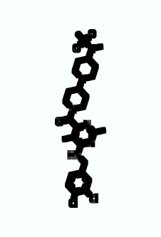 Cc1nc(NCc2ccc(Cl)c(Cl)c2)c(C)c(C(=O)N2CCC(N3CCC(N(C)S(C)(=O)=O)CC3)CC2)n1